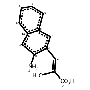 CC(=Cc1cc2ccccc2cc1N)C(=O)O